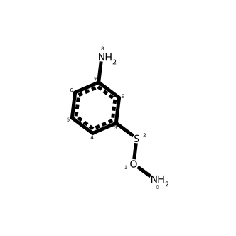 NOSc1cccc(N)c1